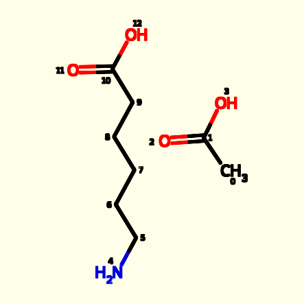 CC(=O)O.NCCCCCC(=O)O